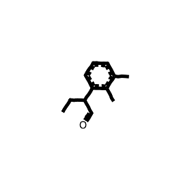 CCC(C=O)c1cccc(C)c1C